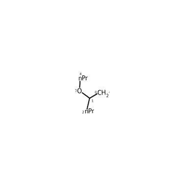 [CH2]C(CCC)OCCC